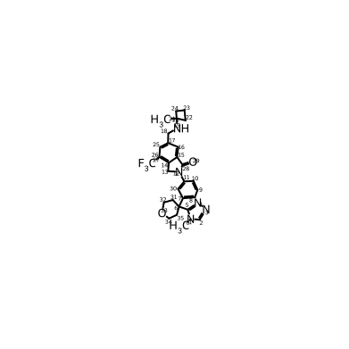 Cn1cnnc1C1(c2cccc(N3Cc4c(cc(CNC5(C)CCC5)cc4C(F)(F)F)C3=O)c2)CCOCC1